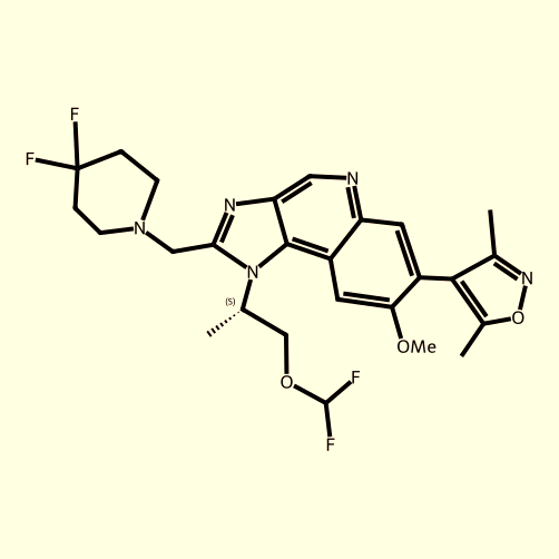 COc1cc2c(cc1-c1c(C)noc1C)ncc1nc(CN3CCC(F)(F)CC3)n([C@@H](C)COC(F)F)c12